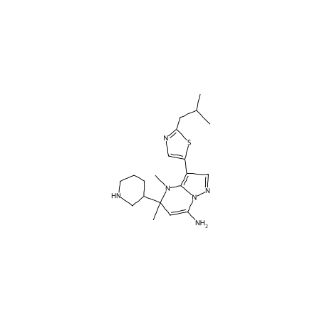 CC(C)Cc1ncc(-c2cnn3c2N(C)C(C)(C2CCCNC2)C=C3N)s1